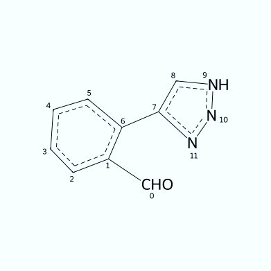 O=Cc1ccccc1-c1c[nH]nn1